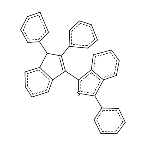 c1ccc(C2=C(c3sc(-c4ccccc4)c4ccccc34)c3ccccc3C2c2ccccc2)cc1